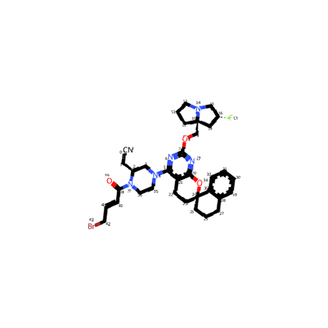 N#CC[C@H]1CN(c2nc(OC[C@@]34CCCN3C[C@H](F)C4)nc3c2CCC2(CCCc4ccccc42)O3)CCN1C(=O)/C=C/CBr